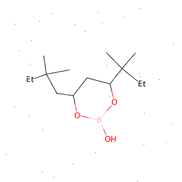 CCC(C)(C)CC1CC(C(C)(C)CC)OB(O)O1